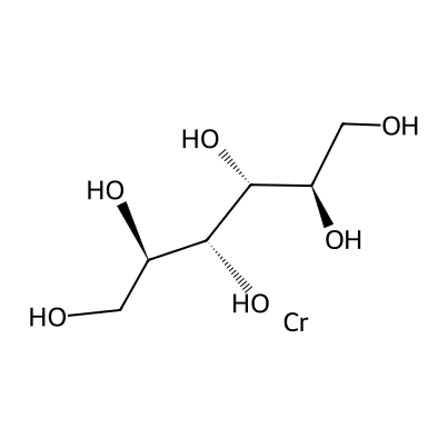 OC[C@@H](O)[C@@H](O)[C@H](O)[C@H](O)CO.[Cr]